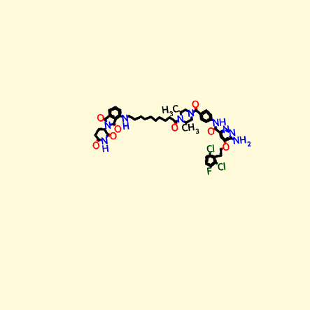 C[C@@H]1CN(C(=O)c2ccc(NC(=O)c3cc(OCCc4c(Cl)ccc(F)c4Cl)c(N)nn3)cc2)C[C@H](C)N1C(=O)CCCCCCCCCNc1cccc2c1C(=O)N([C@@H]1CCC(=O)NC1=O)C2=O